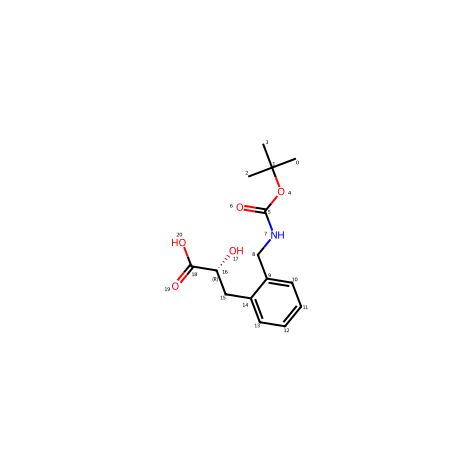 CC(C)(C)OC(=O)NCc1ccccc1C[C@@H](O)C(=O)O